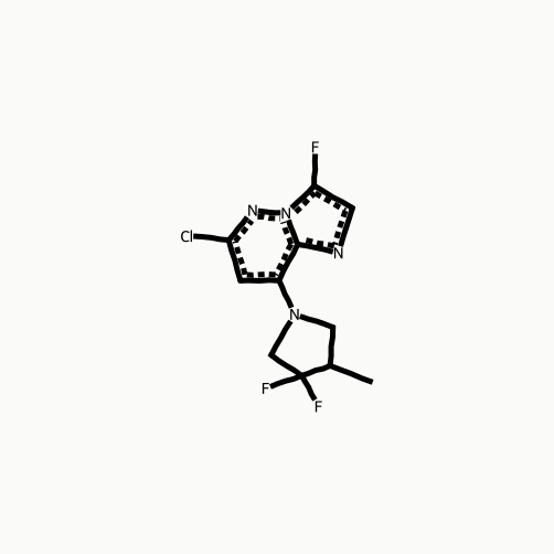 CC1CN(c2cc(Cl)nn3c(F)cnc23)CC1(F)F